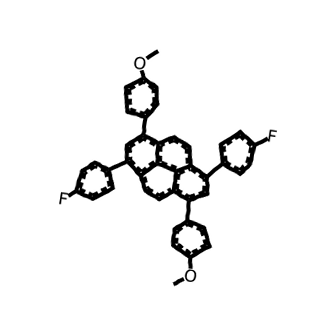 COc1ccc(-c2cc(-c3ccc(F)cc3)c3ccc4c(-c5ccc(OC)cc5)cc(-c5ccc(F)cc5)c5ccc2c3c54)cc1